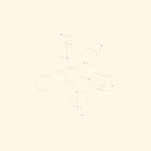 [c]1c(Oc2ccccc2)c(C23CC4CC(CC(C4)C2)C3)c(C23CC4CC(CC(C4)C2)C3)c(C23CC4CC(CC(C4)C2)C3)c1C12CC3CC(CC(C3)C1)C2